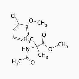 COC(=O)C(C)(C)NC(C)=O.COc1ccccc1Cl